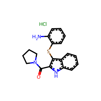 Cl.Nc1ccccc1Sc1c(C(=O)N2CCCC2)[nH]c2ccccc12